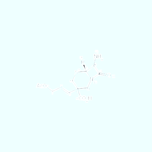 CC(=O)OCC=CC1(C(=O)O)CS[C@@H]2C(N)C(=O)N2C1